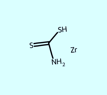 NC(=S)S.[Zr]